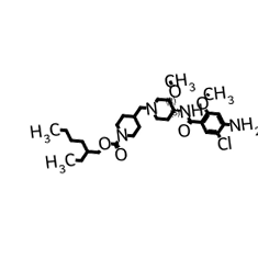 CCCCC(CC)COC(=O)N1CCC(CN2CC[C@H](NC(=O)c3cc(Cl)c(N)cc3OC)[C@H](OC)C2)CC1